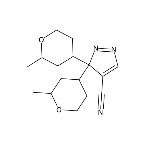 CC1CC(C2(C3CCOC(C)C3)N=NC=C2C#N)CCO1